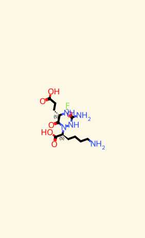 NCCCC[C@@H](C(=O)O)N(NC(N)=O)C(=O)[C@H](CCC(=O)O)NF